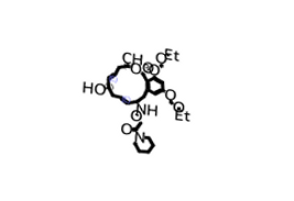 CCOCOc1cc2c(c(OCOCC)c1)C(=O)O[C@H](C)C/C=C/[C@@H](O)C/C=C/C(NOCC(=O)N1CCCCC1)C2